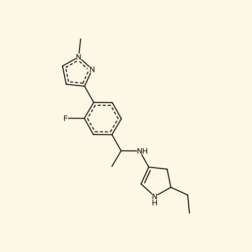 CCC1CC(NC(C)c2ccc(-c3ccn(C)n3)c(F)c2)=CN1